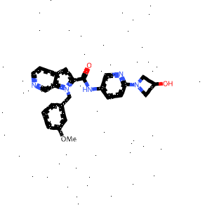 COc1cccc(Cn2c(C(=O)Nc3ccc(N4CC(O)C4)nc3)cc3ccncc32)c1